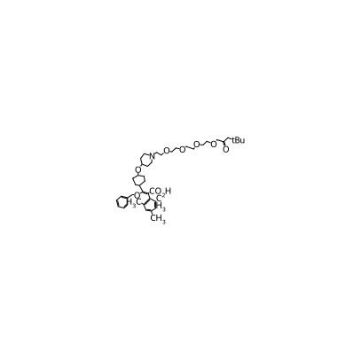 Cc1cc(C)c(/C(C(=O)O)=C(\OCc2ccccc2)C2CCC(OC3CCN(CCOCCOCCOCCOCC(=O)CC(C)(C)C)CC3)CC2)c(C)c1